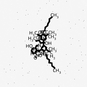 CCCCCCCCOc1c(C(C)(C)C)cc(C(O)(c2cc(C(C)(C)C)c(OCCCCCCCC)c(C(C)(C)C)c2)C(N=Cc2cc([N+](=O)[O-])ccc2O)C(C)CC)cc1C(C)(C)C